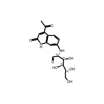 CC(=O)c1cc(=O)[nH]c2cc(N[C@@H](C=O)[C@@H](O)[C@H](O)[C@H](O)CO)ccc12